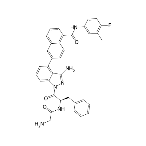 Cc1cc(NC(=O)c2cccc3cc(-c4cccc5c4c(N)nn5C(=O)[C@@H](Cc4ccccc4)NC(=O)CN)ccc23)ccc1F